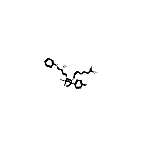 O=C(O)CCC/C=C\C[C@H]1[C@H](/C=C/[C@@H](O)COc2ccccc2)[C@@H]2C[C@@]1(c1ccc(F)cc1)CO2